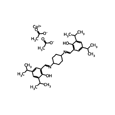 CC(=O)[O-].CC(=O)[O-].CC(C)c1cc(C=NC2CCC(N=Cc3cc(C(C)C)cc(C(C)C)c3O)CC2)c(O)c(C(C)C)c1.[Co+2]